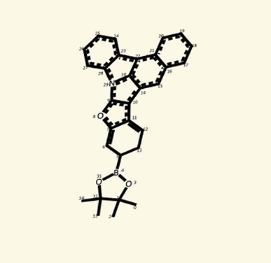 CC1(C)OB(C2C=c3oc4c(c3=CC2)c2cc3ccccc3c3c5ccccc5n4c23)OC1(C)C